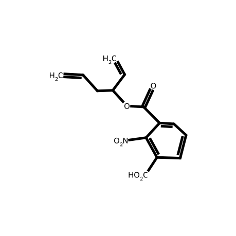 C=CCC(C=C)OC(=O)c1cccc(C(=O)O)c1[N+](=O)[O-]